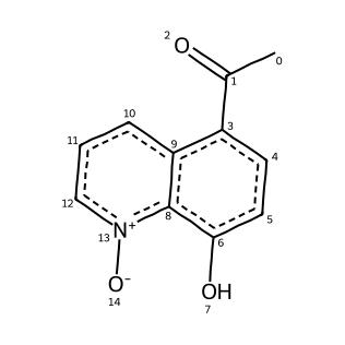 CC(=O)c1ccc(O)c2c1ccc[n+]2[O-]